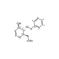 CC(=O)OC[C@H]1OC=C[C@@H](O)[C@@H]1OCc1ccccc1